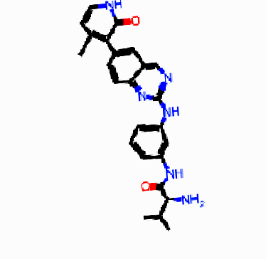 Cc1cc[nH]c(=O)c1-c1ccc2nc(Nc3cccc(NC(=O)[C@@H](N)C(C)C)c3)ncc2c1